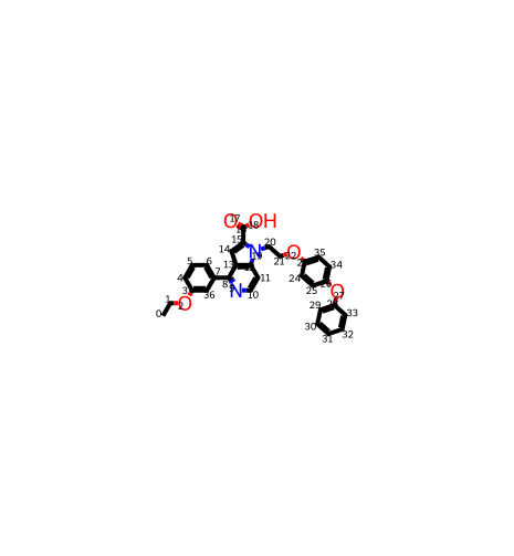 CCOc1cccc(-c2nccc3c2cc(C(=O)O)n3CCOc2ccc(Oc3ccccc3)cc2)c1